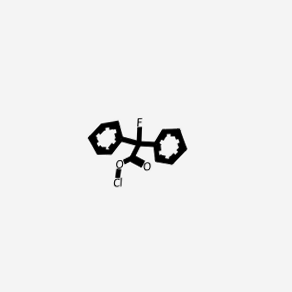 O=C(OCl)C(F)(c1ccccc1)c1ccccc1